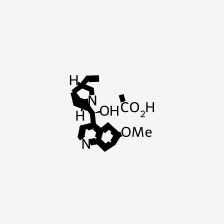 C=C[C@@H]1CN2CCC1C[C@@H]2[C@H](O)c1ccnc2ccc(OC)cc12.CC(=O)O